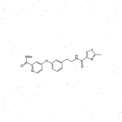 CNC(=O)c1cc(Oc2cccc(CCNC(=O)c3csc(C)n3)c2)ccn1